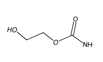 [NH]C(=O)OCCO